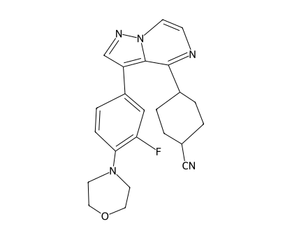 N#CC1CCC(c2nccn3ncc(-c4ccc(N5CCOCC5)c(F)c4)c23)CC1